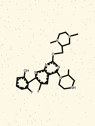 CC1CNCCN1c1nc(OCC2CN(C)CCN2C)nc2nc(-c3c(O)cccc3F)c(F)cc12